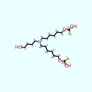 OCCCCN(CCCCCCOC(O)=S)CCCCCCOC(O)=S